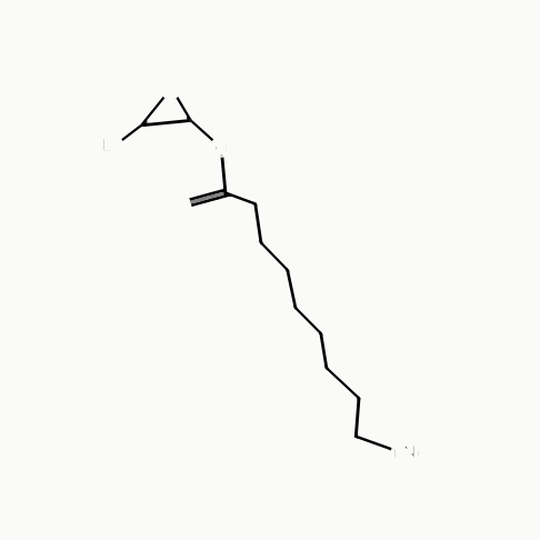 CCCCCCCCCCCCCCCCCC(=O)OC1OC1CC